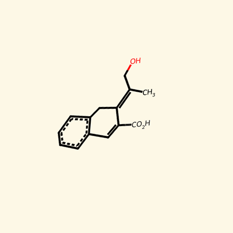 CC(CO)=C1Cc2ccccc2C=C1C(=O)O